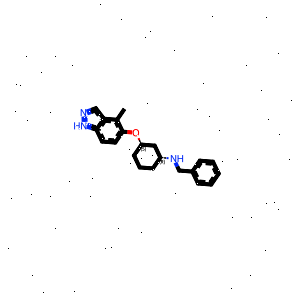 Cc1c(O[C@H]2CCC[C@@H](NCc3ccccc3)C2)ccc2[nH]ncc12